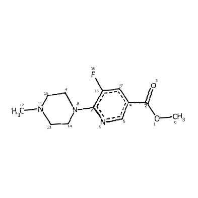 COC(=O)c1cnc(N2CCN(C)CC2)c(F)c1